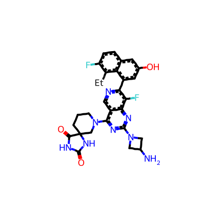 CCc1c(F)ccc2cc(O)cc(-c3ncc4c(N5CCCC6(C5)NC(=O)NC6=O)nc(N5CC(N)C5)nc4c3F)c12